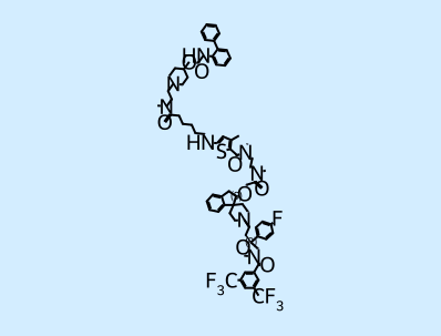 Cc1cc(NCCCCCC(=O)N(C)CCN2CCC(OC(=O)Nc3ccccc3-c3ccccc3)CC2)sc1C(=O)N(C)CCN(C)C(=O)CO[C@H]1Cc2ccccc2C12CCN(CC[C@@]1(c3ccc(F)cc3)CN(C(=O)c3cc(C(F)(F)F)cc(C(F)(F)F)c3)CO1)CC2